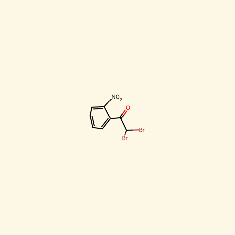 O=C(c1ccccc1[N+](=O)[O-])C(Br)Br